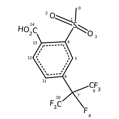 CS(=O)(=O)c1cc(C(F)(C(F)(F)F)C(F)(F)F)ccc1C(=O)O